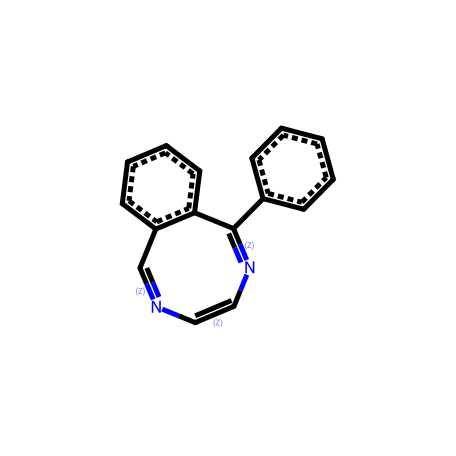 C1=C\N=C(\c2ccccc2)c2ccccc2\C=N/1